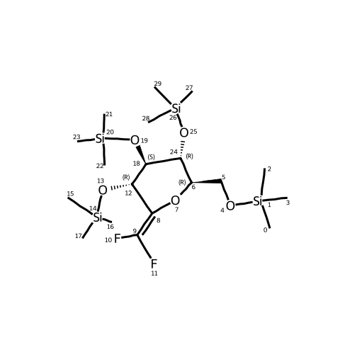 C[Si](C)(C)OC[C@H]1OC(=C(F)F)[C@H](O[Si](C)(C)C)[C@@H](O[Si](C)(C)C)[C@@H]1O[Si](C)(C)C